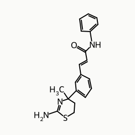 CC1(c2cccc(/C=C/C(=O)Nc3ccccc3)c2)CCSC(N)=N1